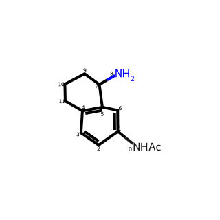 CC(=O)Nc1ccc2c(c1)C(N)CCC2